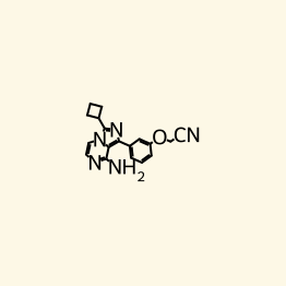 N#CCOc1cccc(-c2nc(C3CCC3)n3ccnc(N)c23)c1